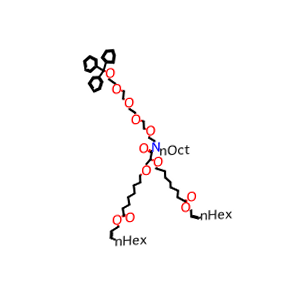 CCCCCC/C=C\COC(=O)CCCCCCCOCC(OCCCCCCCC(=O)OC/C=C\CCCCCC)C(=O)N(CCCCCCCC)CCOCCOCCOCCOCCOC(c1ccccc1)(c1ccccc1)c1ccccc1